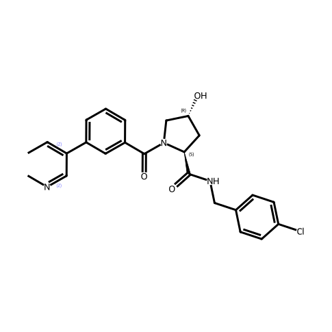 C/C=C(\C=N/C)c1cccc(C(=O)N2C[C@H](O)C[C@H]2C(=O)NCc2ccc(Cl)cc2)c1